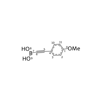 COc1ccc(C#CB(O)O)cc1